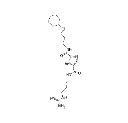 N=C(N)NCCCCNC(=O)c1cnc(C(=O)NCCCOC2CCCCC2)[nH]1